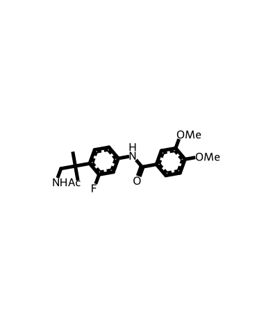 COc1ccc(C(=O)Nc2ccc(C(C)(C)CNC(C)=O)c(F)c2)cc1OC